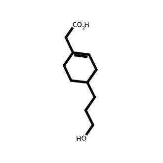 O=C(O)CC1=CCC(CCCO)CC1